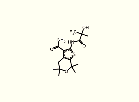 CC1(C)Cc2c(sc(NC(=O)C(C)(O)C(F)(F)F)c2C(N)=O)C(C)(C)O1